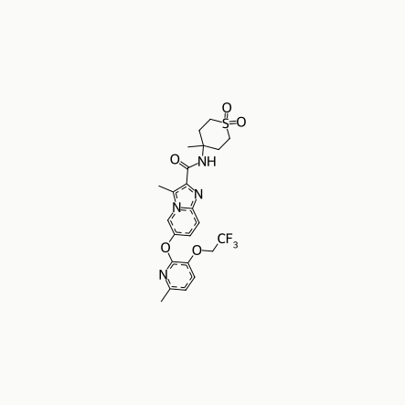 Cc1ccc(OCC(F)(F)F)c(Oc2ccc3nc(C(=O)NC4(C)CCS(=O)(=O)CC4)c(C)n3c2)n1